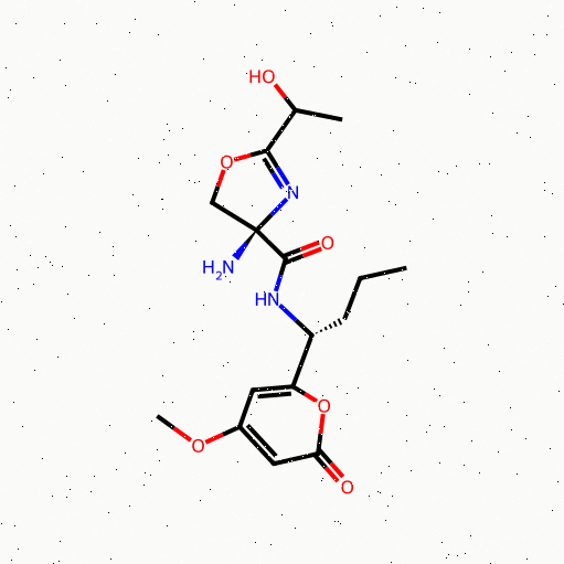 CCC[C@@H](NC(=O)[C@]1(N)COC(C(C)O)=N1)c1cc(OC)cc(=O)o1